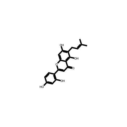 CC(C)=CCc1c(O)cc2oc(-c3ccc(O)cc3O)cc(=O)c2c1O